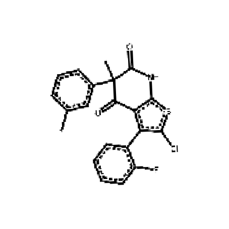 Cc1cccc(C2(C)C(=O)Nc3sc(Cl)c(-c4ccccc4F)c3C2=O)c1